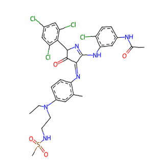 CCN(CCNS(C)(=O)=O)c1ccc(/N=C2\C(=O)C(c3c(Cl)cc(Cl)cc3Cl)N=C2Nc2cc(NC(C)=O)ccc2Cl)c(C)c1